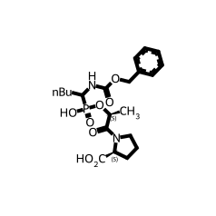 CCCCC(NC(=O)OCc1ccccc1)P(=O)(O)O[C@@H](C)C(=O)N1CCC[C@H]1C(=O)O